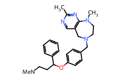 CNCCC(Oc1ccc(CN2CCN(C)c3nc(C)ncc3C2)cc1)c1ccccc1